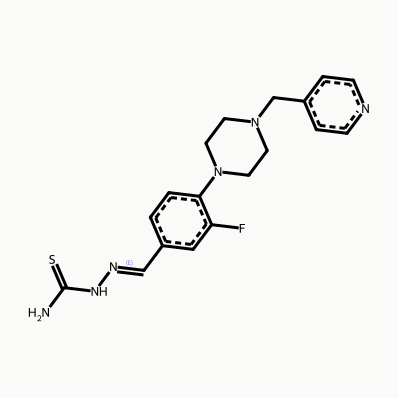 NC(=S)N/N=C/c1ccc(N2CCN(Cc3ccncc3)CC2)c(F)c1